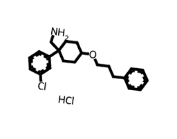 Cl.NCC1(c2cccc(Cl)c2)CCC(OCCCc2ccccc2)CC1